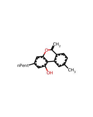 C=C1Oc2cc(CCCCC)cc(O)c2-c2cc(C)ccc21